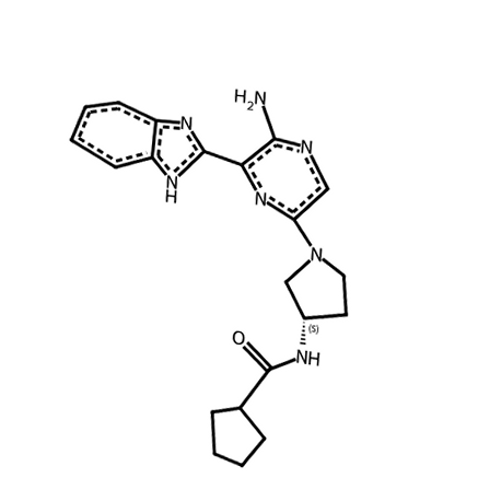 Nc1ncc(N2CC[C@H](NC(=O)C3CCCC3)C2)nc1-c1nc2ccccc2[nH]1